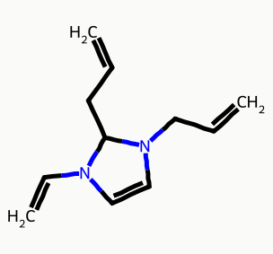 C=CCC1N(C=C)C=CN1CC=C